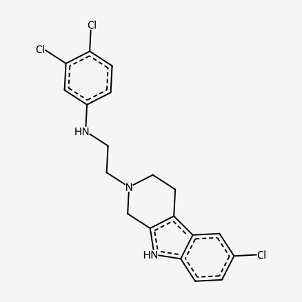 Clc1ccc2[nH]c3c(c2c1)CCN(CCNc1ccc(Cl)c(Cl)c1)C3